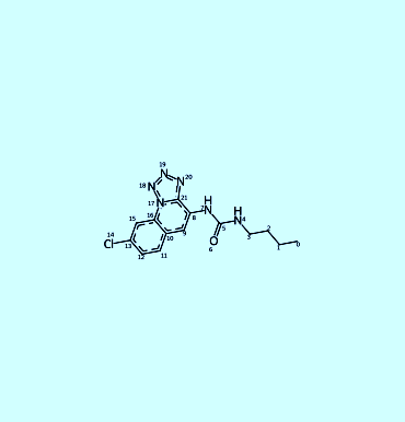 CCCCNC(=O)Nc1cc2ccc(Cl)cc2n2nnnc12